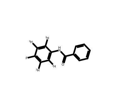 [2H]c1c([2H])c(NC(=O)c2ccccc2)c([2H])c([2H])c1F